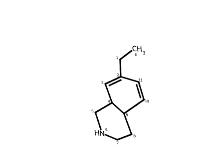 CCC1=CC2CNCCC2C=C1